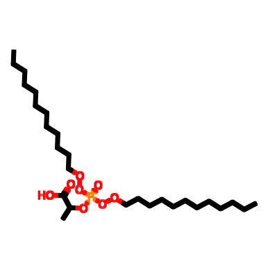 CCCCCCCCCCCCOOP(=O)(OOCCCCCCCCCCCC)OC(C)C(=O)O